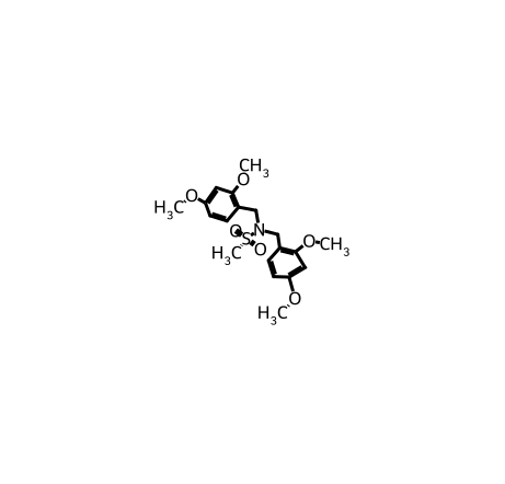 COc1ccc(CN(Cc2ccc(OC)cc2OC)S(C)(=O)=O)c(OC)c1